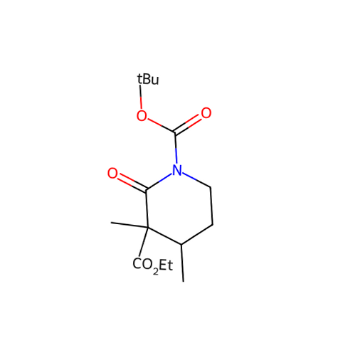 CCOC(=O)C1(C)C(=O)N(C(=O)OC(C)(C)C)CCC1C